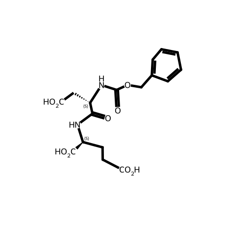 O=C(O)CC[C@H](NC(=O)[C@H](CC(=O)O)NC(=O)OCc1ccccc1)C(=O)O